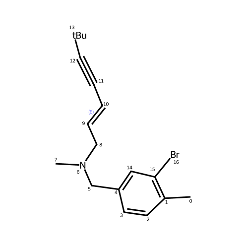 Cc1ccc(CN(C)C/C=C/C#CC(C)(C)C)cc1Br